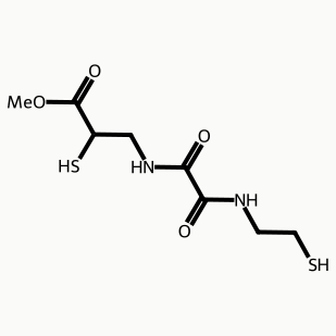 COC(=O)C(S)CNC(=O)C(=O)NCCS